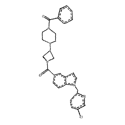 O=C(c1ccccc1)N1CCN(C2CN(C(=O)c3ccc4c(ccn4-c4ccc(Cl)cn4)c3)C2)CC1